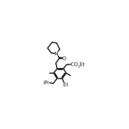 CCOC(=O)Cc1c(C)c(CC)c(CC(C)C)c(C)c1CC(=O)N1CCCCC1